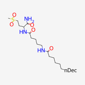 CCCCCCCCCCCCCCCC(=O)NCCCCC(=O)NC(CCS(C)(=O)=O)C(N)=O